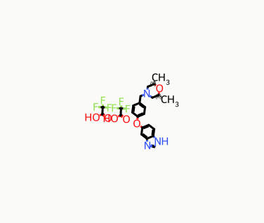 C[C@@H]1CN(Cc2ccc(Oc3ccc4[nH]cnc4c3)cc2)C[C@H](C)O1.O=C(O)C(F)(F)F.O=C(O)C(F)(F)F